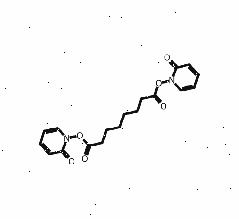 O=C(CCCCCCC(=O)On1ccccc1=O)On1ccccc1=O